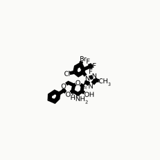 Cc1nc([C@@H]2OC3COC(c4ccccc4)O[C@@H]3C(N)C2O)n(-c2cc(Cl)cc(Br)c2C(F)(F)F)n1